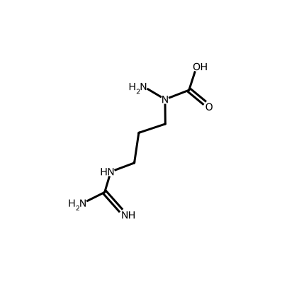 N=C(N)NCCCN(N)C(=O)O